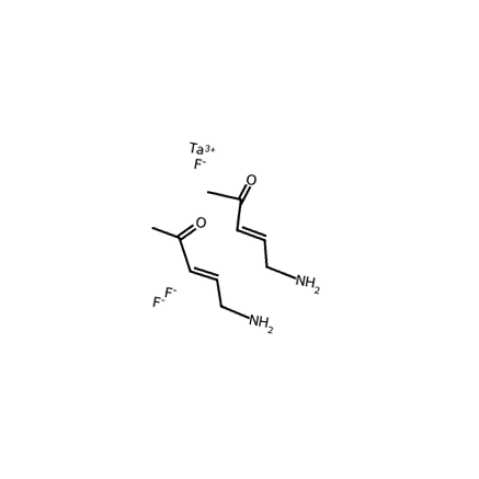 CC(=O)C=CCN.CC(=O)C=CCN.[F-].[F-].[F-].[Ta+3]